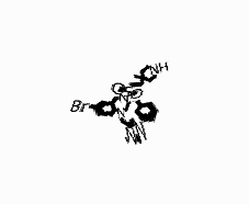 Cn1cncc1CN1C[C@@H](Cc2ccccc2)N(S(=O)(=O)CCC2(C)CCNCC2)Cc2cc(Br)ccc21